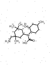 CC1CCC(N(C(=O)O)C2CC(C)(C)CC(C)(CN)C2)C(O)C1